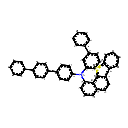 c1ccc(-c2ccc(-c3ccc(N(c4cccc(-c5ccccc5)c4)c4cccc5ccc6c7ccccc7sc6c45)cc3)cc2)cc1